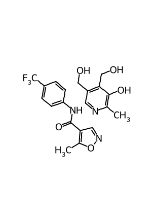 Cc1ncc(CO)c(CO)c1O.Cc1oncc1C(=O)Nc1ccc(C(F)(F)F)cc1